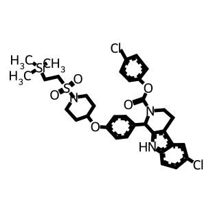 C[Si](C)(C)CCS(=O)(=O)N1CCC(Oc2ccc(C3c4[nH]c5ccc(Cl)cc5c4CCN3C(=O)Oc3ccc(Cl)cc3)cc2)CC1